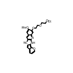 CCOCCOCCOc1cc2nc(Nc3ccc4cccoc3-4)c(C#N)cc2cc1OC